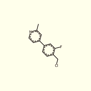 Cc1cc(-c2ccc(CCl)c(F)c2)ccn1